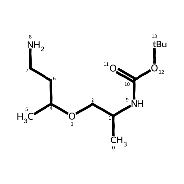 CC(COC(C)CCN)NC(=O)OC(C)(C)C